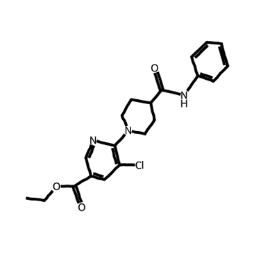 CCOC(=O)c1cnc(N2CCC(C(=O)Nc3ccccc3)CC2)c(Cl)c1